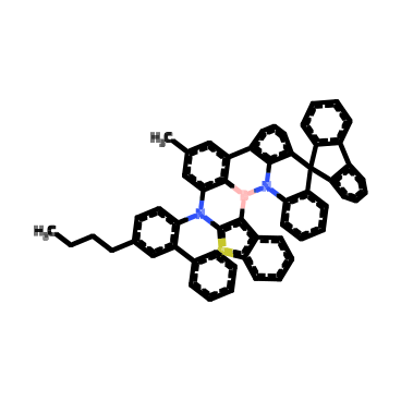 CCCCc1ccc(N2c3cc(C)cc4c3B(c3c2sc2ccccc32)N2c3ccccc3C3(c5ccccc5-c5ccccc53)c3cccc-4c32)c(-c2ccccc2)c1